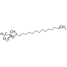 C=CCCCCCCCCCCCCCO[Si](C)(C)C